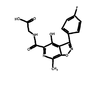 Cc1nc(C(=O)NCC(=O)O)c(O)c2c(-c3ccc(F)cc3)noc12